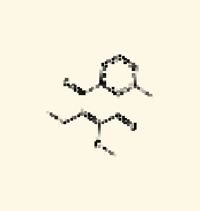 CCC1=C(OC)C(=O)c2c(C)cccc2C1=O